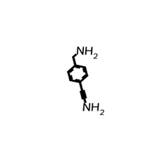 NC#Cc1ccc(CN)cc1